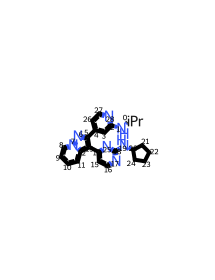 CC(C)Nc1cc(-c2nn3ccccc3c2-c2ccnc(NC3CCCC3)n2)ccn1